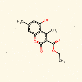 CCOC(=O)c1c(C)c2c(O)cc(C)cc2oc1=O